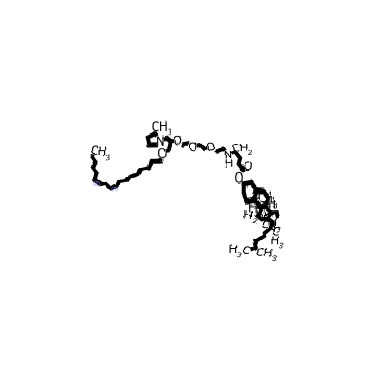 C=C(CCC(=O)O[C@H]1CC[C@@]2(C)C(=CC[C@@H]3[C@@H]2CC[C@]2(C)[C@@H]([C@H](C)CCCC(C)C)CC[C@@]32N)C1)NCCOCCOCCOC(COCCCCCCCC/C=C\C/C=C\CCCCC)CN1CCCC1C